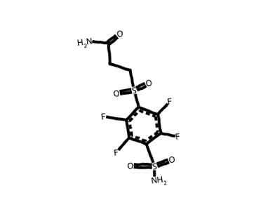 NC(=O)CCS(=O)(=O)c1c(F)c(F)c(S(N)(=O)=O)c(F)c1F